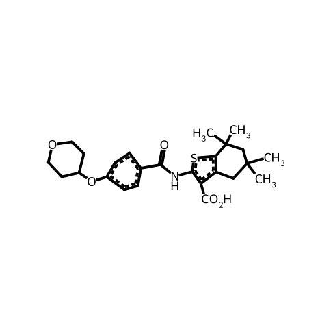 CC1(C)Cc2c(sc(NC(=O)c3ccc(OC4CCOCC4)cc3)c2C(=O)O)C(C)(C)C1